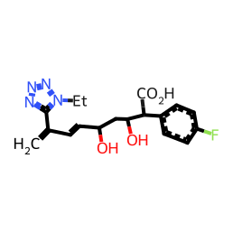 C=C(C=CC(O)CC(O)C(C(=O)O)c1ccc(F)cc1)c1nnnn1CC